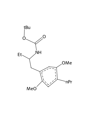 CCCc1cc(OC)c(CC(CC)NC(=O)OC(C)(C)C)cc1OC